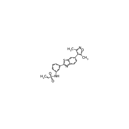 C=CS(=O)(=O)Nc1cccc(-c2nc3ccc(-c4c(C)noc4C)cc3s2)c1